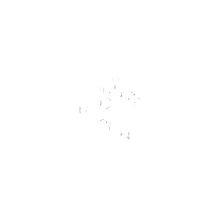 Cc1cc2[nH]c(=O)c3cn[nH]c3c2cc1C(=O)N1CCN(C2CCCO2)CC1